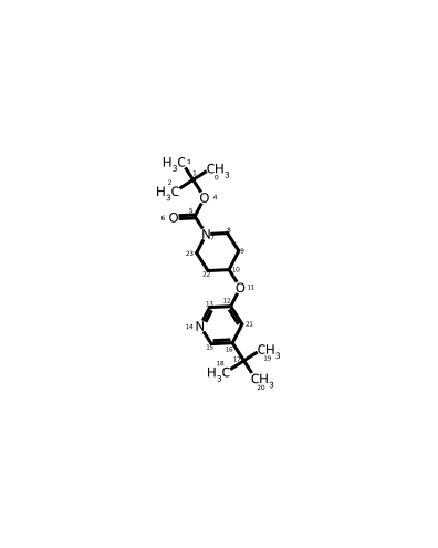 CC(C)(C)OC(=O)N1CCC(Oc2cncc(C(C)(C)C)c2)CC1